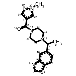 CC(c1ccc2scnc2c1)N1CCN(C(=O)c2cnn(C)c2)CC1